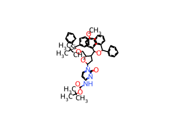 COc1ccc(C(OC(c2ccccc2)c2ccccc2)C2CC(n3ccc(NC(=O)OC(C)(C)C)nc3=O)OC2CO[Si](c2ccccc2)(c2ccccc2)C(C)(C)C)cc1